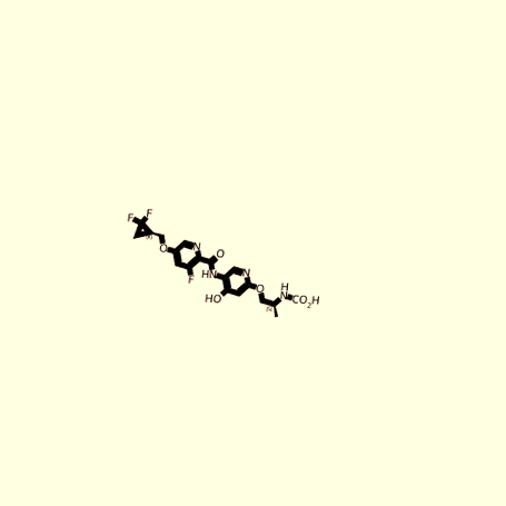 C[C@@H](COc1cc(O)c(NC(=O)c2ncc(OC[C@H]3CC3(F)F)cc2F)cn1)NC(=O)O